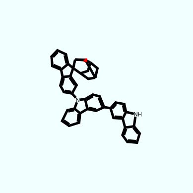 c1ccc2c(c1)-c1ccc(-n3c4ccccc4c4cc(-c5ccc6[nH]c7ccccc7c6c5)ccc43)cc1C21C2CC3CC(C2)CC1C3